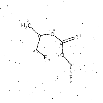 CC(CF)OC(=O)OCF